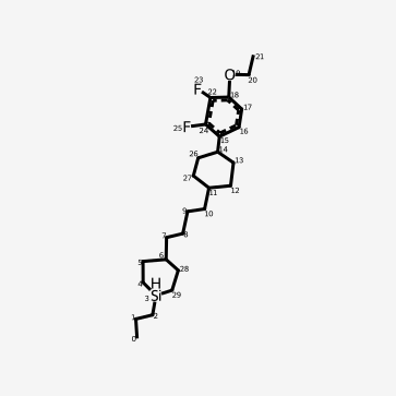 CCC[SiH]1CCC(CCCCC2CCC(c3ccc(OCC)c(F)c3F)CC2)CC1